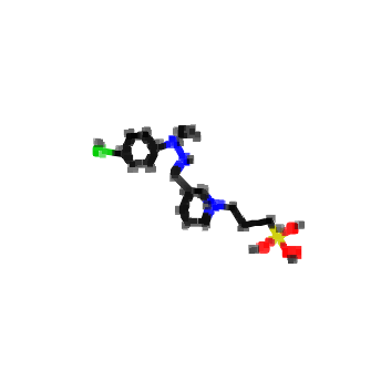 CN(N=Cc1ccc[n+](CCCS(=O)(=O)O)c1)c1ccc(Cl)cc1